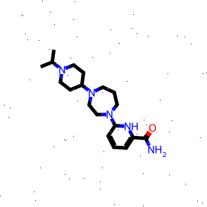 CC(C)N1CCC(N2CCCN(C3C=CC=C(C(N)=O)N3)CC2)CC1